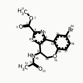 COC(=O)c1nc2c(s1)C(NC(C)=O)COc1ccc(Br)cc1-2